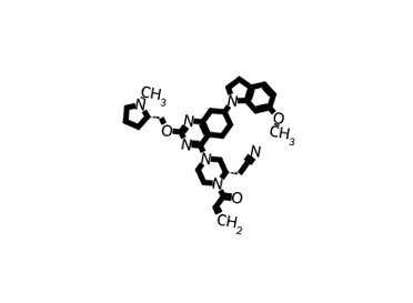 C=CC(=O)N1CCN(c2nc(OC[C@@H]3CCCN3C)nc3c2CCC(N2CCc4ccc(OC)cc42)C3)C[C@@H]1CC#N